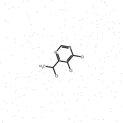 CC(Cl)c1ncnc(Cl)c1Cl